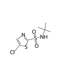 CC(C)(C)NS(=O)(=O)c1ncc(Cl)s1